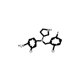 Nc1ccc(N(Cc2cc(F)ccc2Cl)[C@H]2CCNC2)cc1Cl